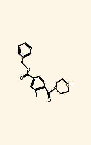 Cc1cc(C(=O)OCc2ccccc2)ccc1C(=O)N1CCNCC1